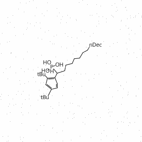 CCCCCCCCCCCCCCCCCC(c1ccc(C(C)(C)C)cc1C(C)(C)C)[PH](O)(O)O